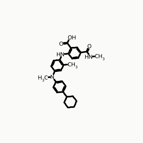 CNC(=O)c1ccc(Nc2ccc(N(C)c3ccc(C4CCCCC4)cc3)cc2C)c(C(=O)O)c1